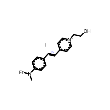 CCN(C)c1ccc(/C=C/c2cc[n+](CCO)cc2)cc1.[I-]